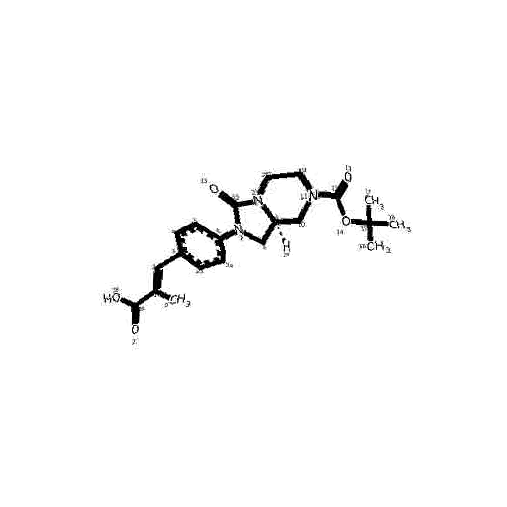 C/C(=C\c1ccc(N2C[C@@H]3CN(C(=O)OC(C)(C)C)CCN3C2=O)cc1)C(=O)O